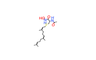 CC(=O)NC(CSCC=C(C)CCC=C(C)CCC=C(C)C)C(=O)NO